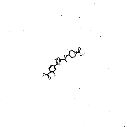 COC(=O)c1ccc(-c2noc(C(C)OC3CCN(C(=O)O)CC3)n2)cc1F